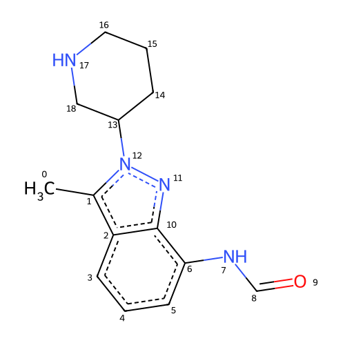 Cc1c2cccc(NC=O)c2nn1C1CCCNC1